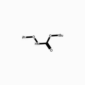 CC(C)ONC(=O)OC(C)(C)C